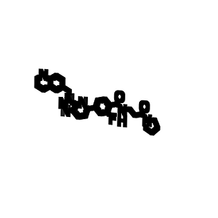 O=C(NCCC(=O)N1CCCC1)c1ccc(-c2ccc3nnn(Cc4ccc5ncccc5c4)c3n2)cc1F